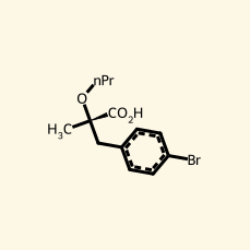 CCCO[C@@](C)(Cc1ccc(Br)cc1)C(=O)O